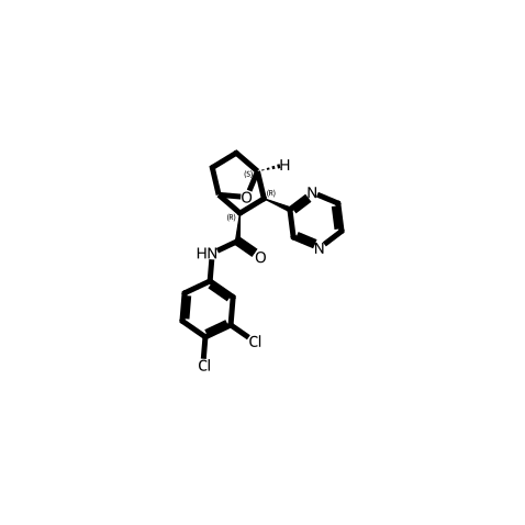 O=C(Nc1ccc(Cl)c(Cl)c1)[C@H]1C2CC[C@H](O2)[C@H]1c1cnccn1